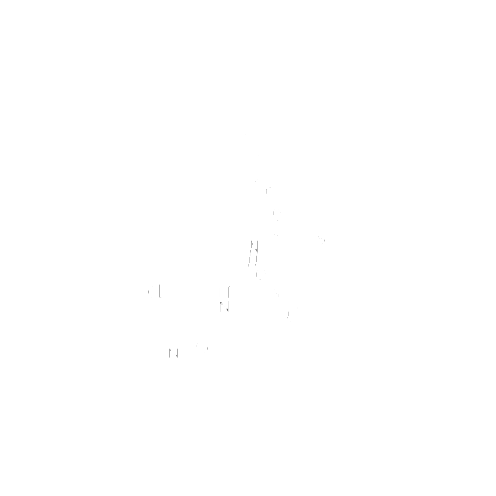 C=CC(Nc1onc(C)c1Cl)S(=O)(=O)c1c(C(=O)Nc2cc(C)cc(C)c2C(=O)C2CC2)sc(C)c1C